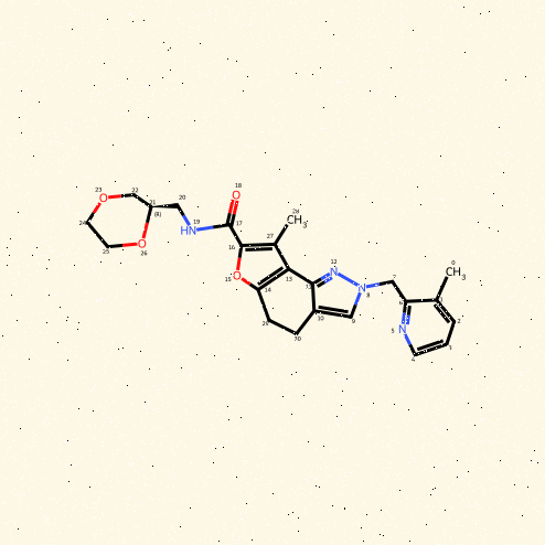 Cc1cccnc1Cn1cc2c(n1)-c1c(oc(C(=O)NC[C@@H]3COCCO3)c1C)CC2